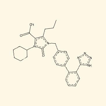 CCCc1c(C(=O)O)n(C2CCCCC2)c(=O)n1Cc1ccc(-c2ccccc2-c2nnn[nH]2)cc1